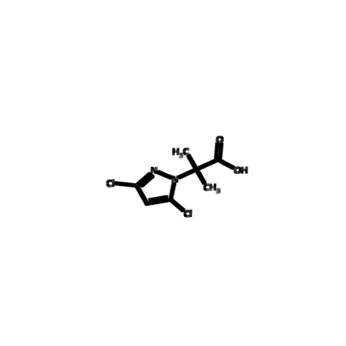 CC(C)(C(=O)O)n1nc(Cl)cc1Cl